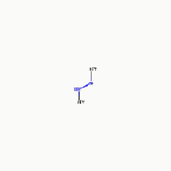 CCC[N]NCCC